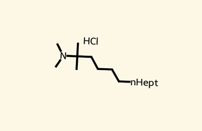 CCCCCCCCCCCC(C)(C)N(C)C.Cl